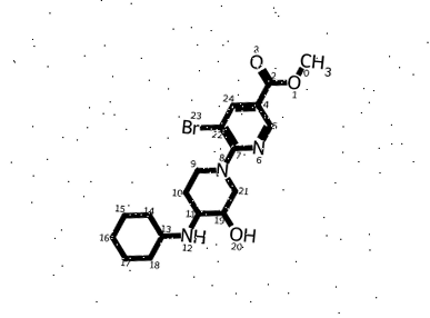 COC(=O)c1cnc(N2CCC(NC3CCCCC3)C(O)C2)c(Br)c1